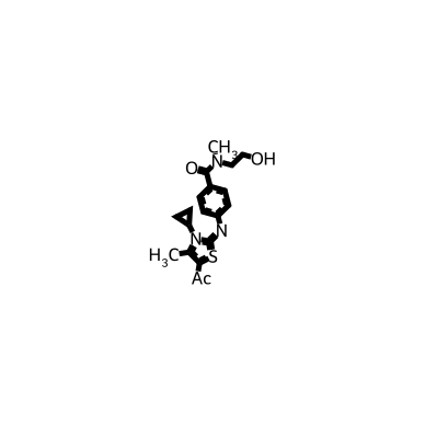 CC(=O)c1sc(=Nc2ccc(C(=O)N(C)CCO)cc2)n(C2CC2)c1C